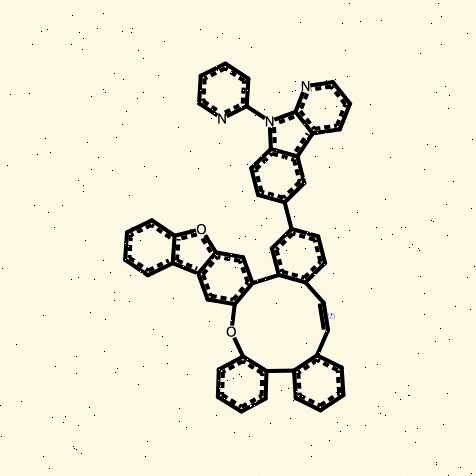 C1=C\c2ccc(-c3ccc4c(c3)c3cccnc3n4-c3ccccn3)cc2-c2cc3oc4ccccc4c3cc2Oc2ccccc2-c2ccccc2/1